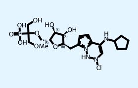 COCC(CO)(OC[C@H]1O[C@H](Cc2ccc3n2NN(Cl)C=C3NC2CCCC2)[C@H](O)[C@@H]1O)P(=O)(O)O